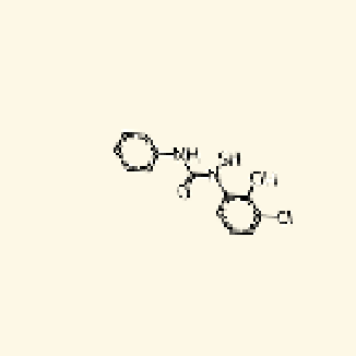 O=C(Nc1ccccc1)N(S)c1cccc(Cl)c1O